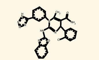 CC1=C(C(N)=O)C(c2ccccc2Cl)N=C(Nc2nc3ccccc3o2)N1c1cccc(-c2nnn[nH]2)c1